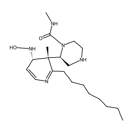 CCCCCCCCC1=NC=C[C@H](NO)[C@]1(C)[C@@H]1CNCCN1C(=O)NC